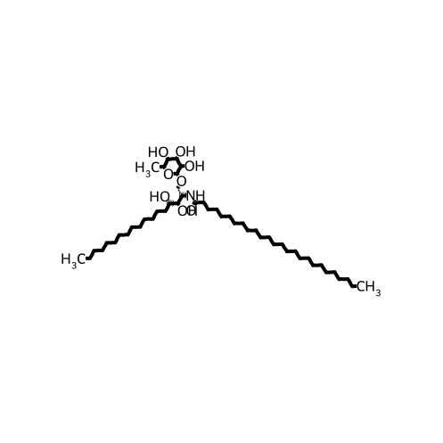 CCCCCCCCCCCCCCCCCCCCCCCCCC(=O)N[C@@H](COC1OC(C)C(O)C(O)C1O)C(O)[C@H](O)CCCCCCCCCCCCCC